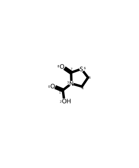 O=C(O)N1CCSC1=O